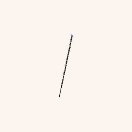 C#CC#CC#CC#CC#CC#CC#CC#CC#CC#CC#CC#CC#CC#CC#CC#CC#CC#CC#CC#CC#CC#CC#CC#CC#CC#CC#CC#CC#CC#CC#CC#CC#CC#N